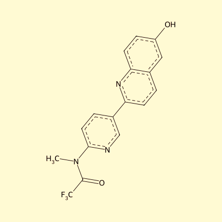 CN(C(=O)C(F)(F)F)c1ccc(-c2ccc3cc(O)ccc3n2)cn1